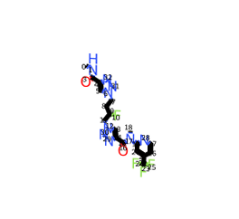 CNC(=O)c1cn(CCC(F)Cn2cc(C(=O)N(C)c3cc(C(F)(F)F)ccn3)nn2)nn1